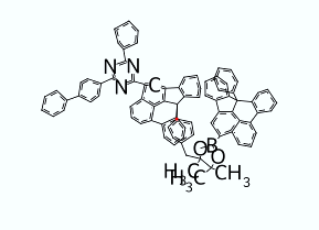 CC1(C)OB(c2cc3c4c5c(cccc25)-c2ccccc2C4(c2ccccc2)c2ccccc2-3)OC1(C)Cc1ccc(C23c4ccccc4-c4cc(-c5nc(-c6ccccc6)nc(-c6ccc(-c7ccccc7)cc6)n5)c5cccc(c5c42)-c2ccccc23)cc1